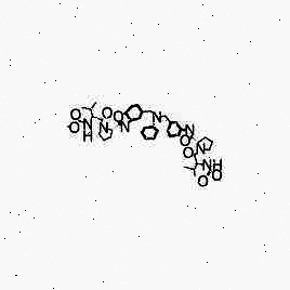 COC(=O)N[C@H](C(=O)N1CCC[C@H]1c1nc2cc(CN(Cc3ccc4oc([C@@H]5CCCN5C(=O)[C@@H](NC(=O)OC)C(C)C)nc4c3)c3ccccc3)ccc2o1)C(C)C